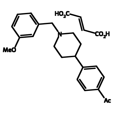 COc1cccc(CN2CCC(c3ccc(C(C)=O)cc3)CC2)c1.O=C(O)/C=C/C(=O)O